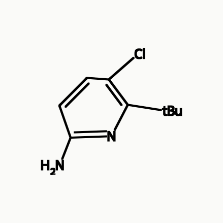 CC(C)(C)c1nc(N)ccc1Cl